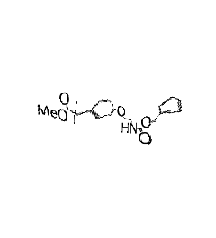 COC(=O)C(C)(C)c1ccc(OCCNC(=O)OCc2ccccc2)cc1